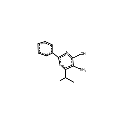 CC(C)c1nc(-c2ccccc2)nc(O)c1N